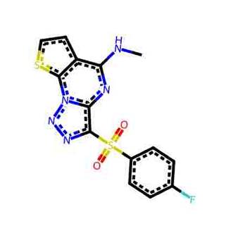 CNc1nc2c(S(=O)(=O)c3ccc(F)cc3)nnn2c2sccc12